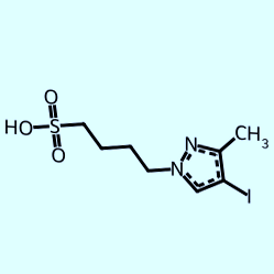 Cc1nn(CCCCS(=O)(=O)O)cc1I